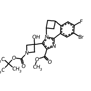 COC(=O)c1nc2n(c1C1(O)CN(C(=O)OC(C)(C)C)C1)C1CC(C1)c1cc(F)c(Br)cc1-2